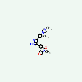 Cc1cc(-c2cnc3[nH]cc(-c4ccc(C(=O)N(C)C5CCOCC5)cc4)c3c2)ccc1N1CCN(C)CC1